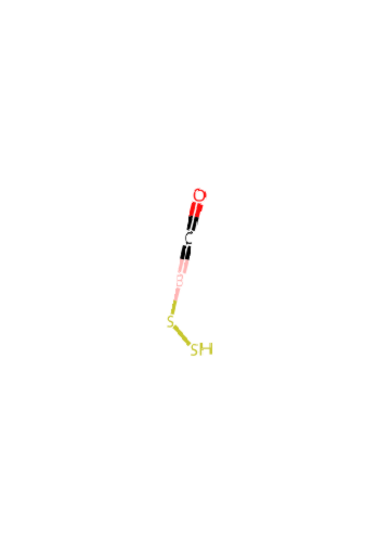 O=C=BSS